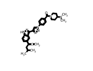 C=C=C(CC(C)C)c1ccc2[nH]nc(-c3cn(-c4ccc(C(=O)N5CCC(N(C)C)CC5)cc4)nn3)c2c1